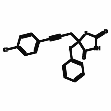 O=C1NC(=O)C(CC#Cc2ccc(Cl)cc2)(Sc2ccccc2)S1